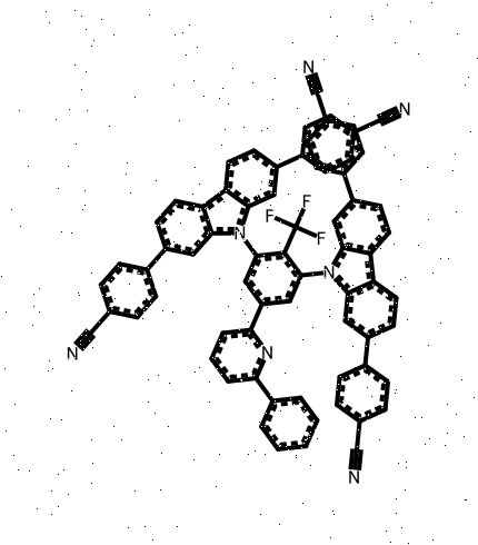 N#Cc1ccc(-c2ccc3c4ccc(-c5ccc(C#N)cc5)cc4n(-c4cc(-c5cccc(-c6ccccc6)n5)cc(-n5c6cc(-c7ccc(C#N)cc7)ccc6c6ccc(-c7ccc(C#N)cc7)cc65)c4C(F)(F)F)c3c2)cc1